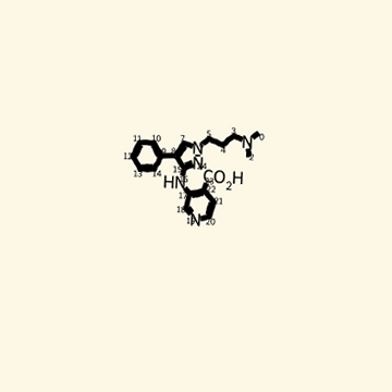 CN(C)CCCn1cc(-c2ccccc2)c(Nc2cnccc2C(=O)O)n1